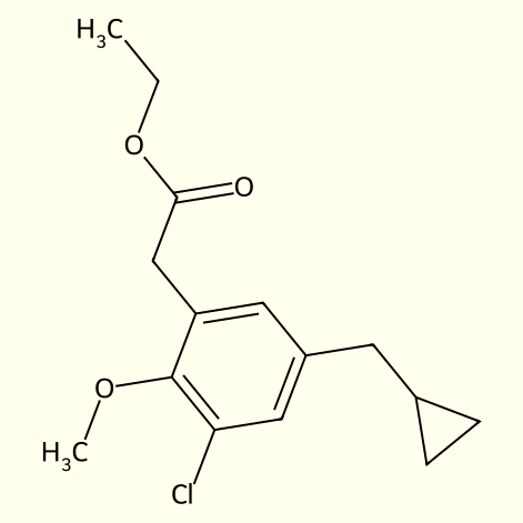 CCOC(=O)Cc1cc(CC2CC2)cc(Cl)c1OC